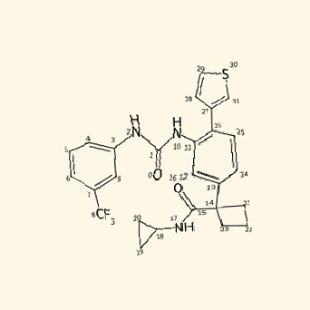 O=C(Nc1cccc(C(F)(F)F)c1)Nc1cc(C2(C(=O)NC3CC3)CCC2)ccc1-c1ccsc1